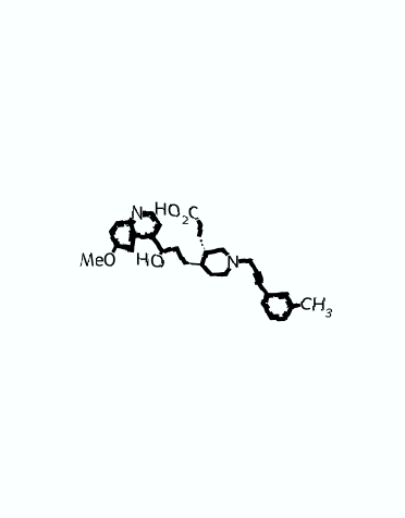 COc1ccc2nccc([C@H](O)CC[C@@H]3CCN(CC#Cc4cccc(C)c4)C[C@H]3CCC(=O)O)c2c1